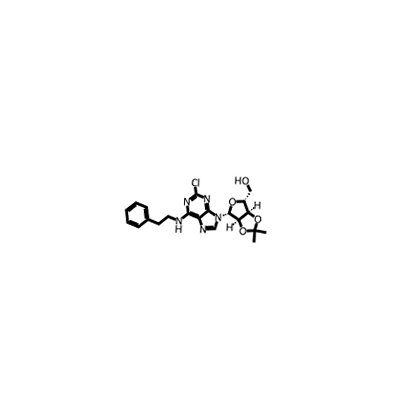 CC1(C)O[C@@H]2[C@H](O1)[C@@H](CO)O[C@H]2n1cnc2c(NCCc3ccccc3)nc(Cl)nc21